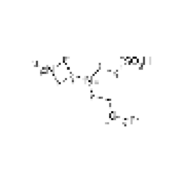 CC(C)OCCN(CCS(=O)(=O)O)C1CN(C)C1